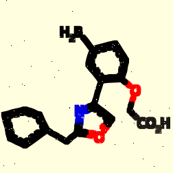 Bc1ccc(OCC(=O)O)c(-c2coc(Cc3ccccc3)n2)c1